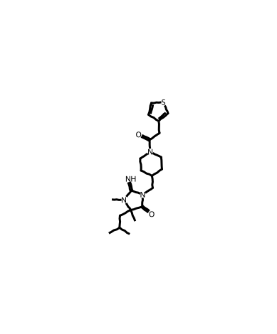 CC(C)CC1(C)C(=O)N(CC2CCN(C(=O)Cc3ccsc3)CC2)C(=N)N1C